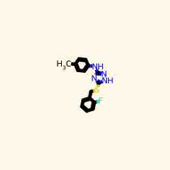 Cc1ccc(Nc2n[nH]c(SCc3ccccc3F)n2)cc1